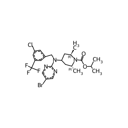 CC(C)OC(=O)N1[C@H](C)CC(N(Cc2cc(Cl)cc(C(F)(F)F)c2)c2ncc(Br)cn2)C[C@H]1C